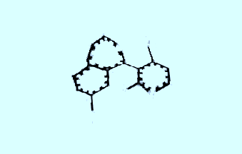 Nc1ccnc(N)c1-c1nccc2ccc(Cl)cc12